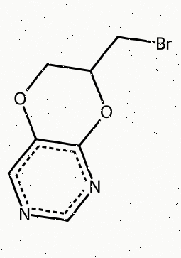 BrCC1COc2cncnc2O1